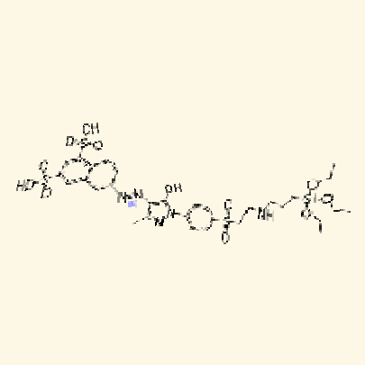 CCO[Si](CCCNCCS(=O)(=O)c1ccc(-n2nc(C)c(/N=N/c3ccc4c(S(=O)(=O)O)cc(S(=O)(=O)O)cc4c3)c2O)cc1)(OCC)OCC